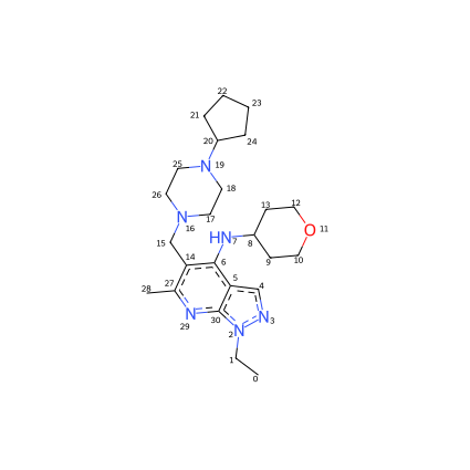 CCn1ncc2c(NC3CCOCC3)c(CN3CCN(C4CCCC4)CC3)c(C)nc21